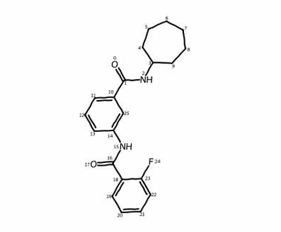 O=C(NC1CCCCCC1)c1cccc(NC(=O)c2ccccc2F)c1